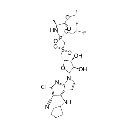 CCOC(=O)[C@H](C)NP(=O)(CS(=O)(=O)C[C@H]1O[C@@H](n2ccc3c(NC4CCCC4)c(C#N)c(Cl)nc32)[C@H](O)[C@@H]1O)OCC(F)F